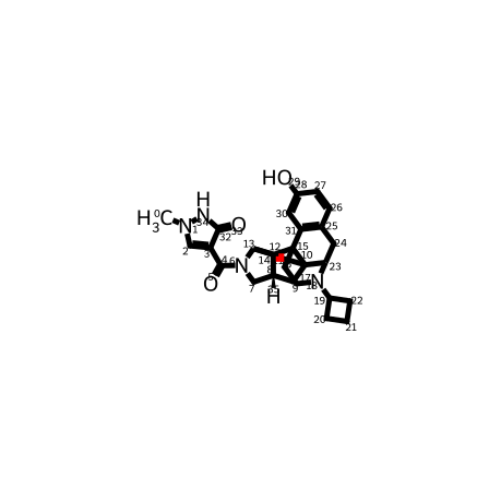 Cn1cc(C(=O)N2C[C@H]3CC45CCC2C3C42CCN(C3CCC3)C5Cc3ccc(O)cc32)c(=O)[nH]1